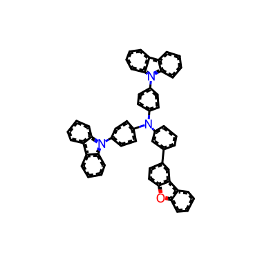 c1cc(-c2ccc3oc4ccccc4c3c2)cc(N(c2ccc(-n3c4ccccc4c4ccccc43)cc2)c2ccc(-n3c4ccccc4c4ccccc43)cc2)c1